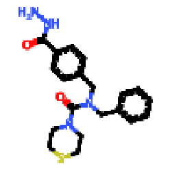 NNC(=O)c1ccc(CN(Cc2ccccc2)C(=O)N2CCSCC2)cc1